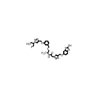 C[C@@H](CSCc1cccc(OCc2cn(C(CO)CF)nn2)c1)NC(=O)Cn1cc(COc2ccc3nc(S)sc3c2)nn1